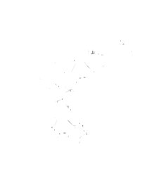 CC1CCC(c2ccc3sc(CCN(C)C)nc3c2)N(C(=O)C(=O)Nc2cncc3cn[nH]c23)C1